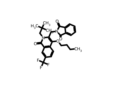 CCCCOc1c(CN2C(=O)c3ccccc3C2=O)n(CC(C)(C)C)c(=O)c2cc(C(F)(F)F)ccc12